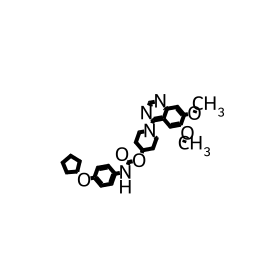 COc1cc2ncnc(N3CCC(OC(=O)Nc4ccc(OC5CCCC5)cc4)CC3)c2cc1OC